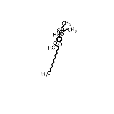 CCCCCCCCCCCCC(Oc1ccc(NS(=O)(=O)N(CCC)CCC)cc1)C(=O)O